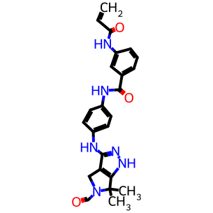 C=CC(=O)Nc1cccc(C(=O)Nc2ccc(Nc3n[nH]c4c3CN(C=O)C4(C)C)cc2)c1